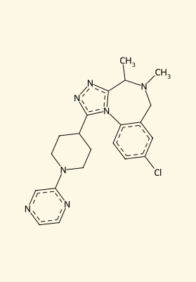 CC1c2nnc(C3CCN(c4cnccn4)CC3)n2-c2ccc(Cl)cc2CN1C